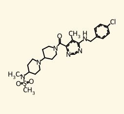 Cc1c(NCc2ccc(Cl)cc2)ncnc1C(=O)N1CCC(N2CCC(N(C)S(C)(=O)=O)CC2)CC1